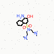 CN(C)CCN(CCN(C)C)S(=O)(=O)c1cc(O)c(N)c2ccccc12